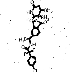 BC(NC(=O)C(F)(F)c1ccc(Cl)cc1)c1ccc2c(c1)CN(C1(B)C(=O)NC(=O)CC1B)C2=O